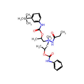 CCC(=O)N[N+](C)(CC(C)OC(=O)Nc1ccccc1)CC(C)OC(=O)Nc1ccc[c]([Sn]([CH3])([CH3])[CH3])c1